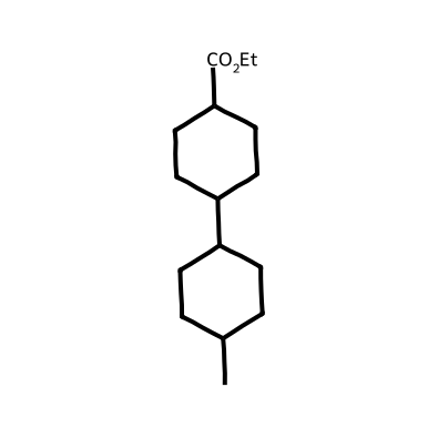 CCOC(=O)C1CCC(C2CCC(C)CC2)CC1